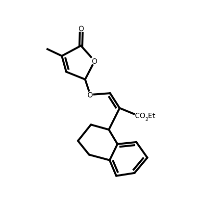 CCOC(=O)/C(=C/OC1C=C(C)C(=O)O1)C1CCCc2ccccc21